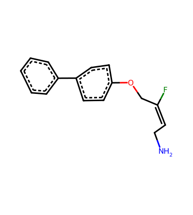 NC/C=C(/F)COc1ccc(-c2ccccc2)cc1